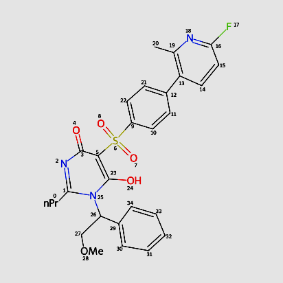 CCCc1nc(=O)c(S(=O)(=O)c2ccc(-c3ccc(F)nc3C)cc2)c(O)n1C(COC)c1ccccc1